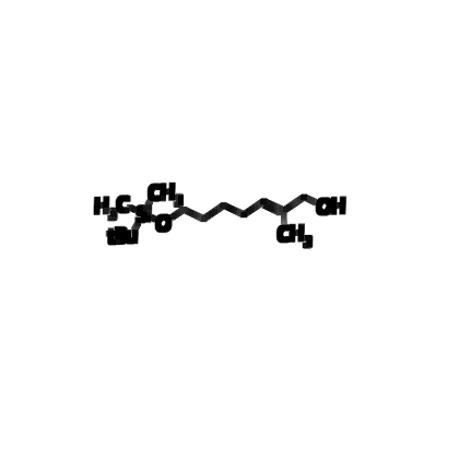 C/C(=C\CCCCO[Si](C)(C)C(C)(C)C)CO